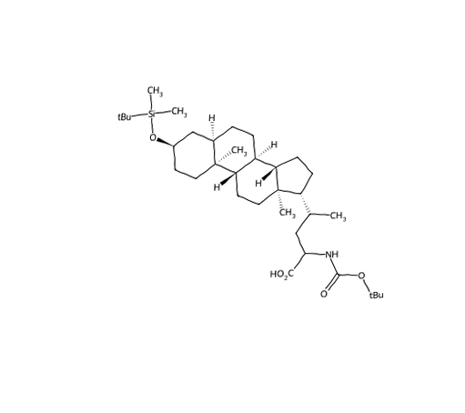 CC(CC(NC(=O)OC(C)(C)C)C(=O)O)[C@H]1CC[C@H]2[C@@H]3CC[C@@H]4C[C@H](O[Si](C)(C)C(C)(C)C)CC[C@]4(C)[C@H]3CC[C@]12C